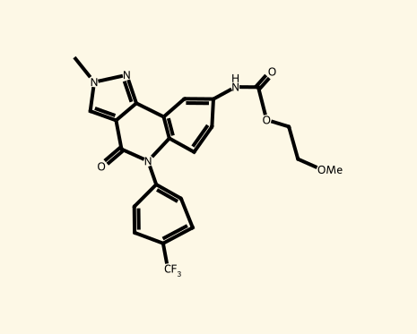 COCCOC(=O)Nc1ccc2c(c1)c1nn(C)cc1c(=O)n2-c1ccc(C(F)(F)F)cc1